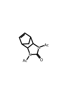 CC(=O)N1C(=O)N(C(C)=O)C2C3C=CC(C3)C21